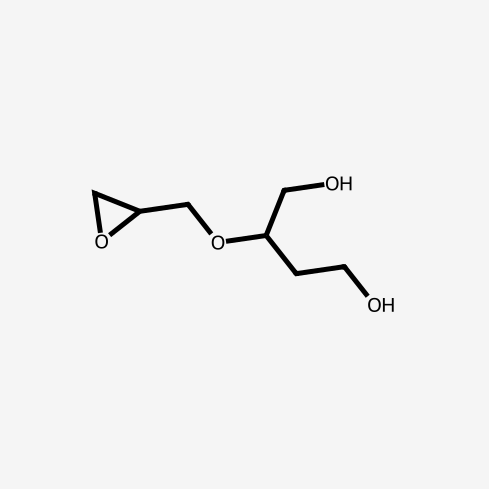 OCCC(CO)OCC1CO1